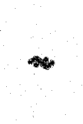 CC(C)[C@H](NC(=O)N(C)Cc1nccs1)C(=O)N[C@@H](Cc1ccccc1)[C@@H](O)[C@H](O)[C@H](Cc1ccccc1)NC(=O)[C@@H](NC(=O)N(C)Cc1nccs1)C(C)C